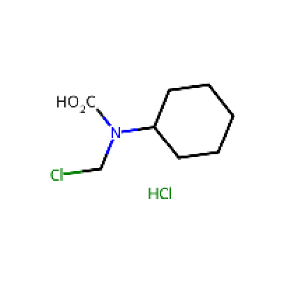 Cl.O=C(O)N(CCl)C1CCCCC1